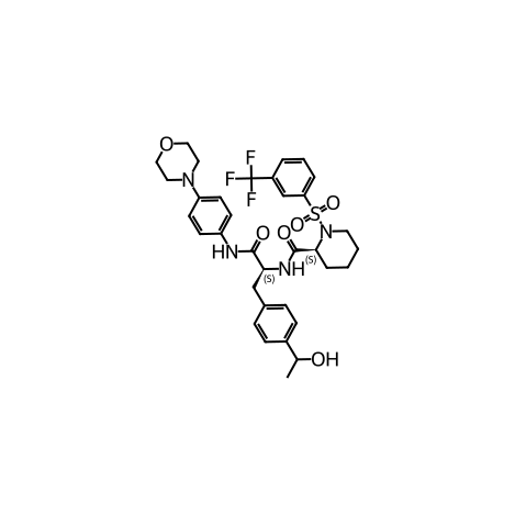 CC(O)c1ccc(C[C@H](NC(=O)[C@@H]2CCCCN2S(=O)(=O)c2cccc(C(F)(F)F)c2)C(=O)Nc2ccc(N3CCOCC3)cc2)cc1